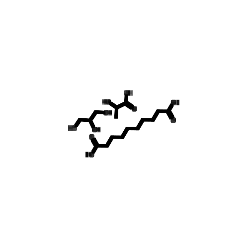 CC(O)C(=O)O.O=C(O)CCCCCCCCC(=O)O.OCC(O)CO